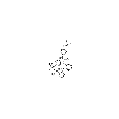 CC1(C)CC(C)(c2ccccc2Oc2ncccc2NC(=O)Nc2ccc(OC(F)(F)F)cc2)Oc2ccccc21